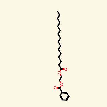 CCCCCCCCCCCCCCCC(=O)OCCOC(=O)c1ccccc1